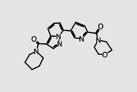 O=C(c1ccc(-c2cccc3c(C(=O)N4CCCCC4)cnn23)cn1)N1CCOCC1